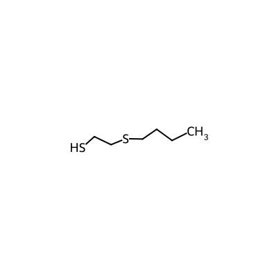 CCCCSCCS